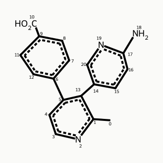 Cc1nccc(-c2ccc(C(=O)O)cc2)c1-c1ccc(N)nc1